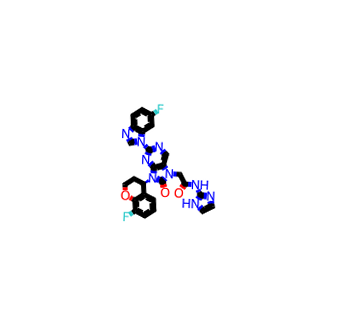 O=C(Cn1c(=O)n([C@@H]2CCOc3c(F)cccc32)c2nc(-n3cnc4ccc(F)cc43)ncc21)Nc1ncc[nH]1